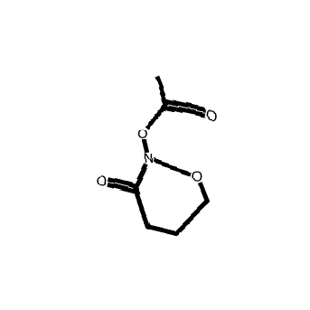 CC(=O)ON1OCCCC1=O